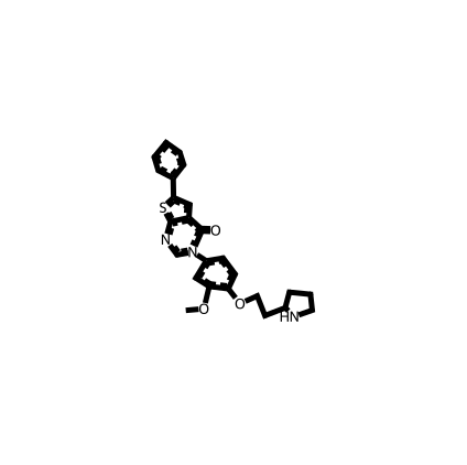 COc1cc(-n2cnc3sc(-c4ccccc4)cc3c2=O)ccc1OCCC1CCCN1